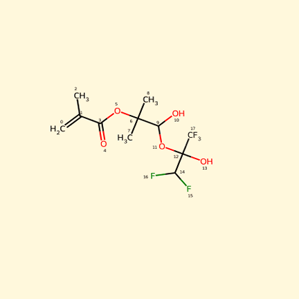 C=C(C)C(=O)OC(C)(C)C(O)OC(O)(C(F)F)C(F)(F)F